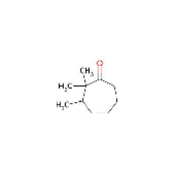 CC1CCCCC(=O)C1(C)C